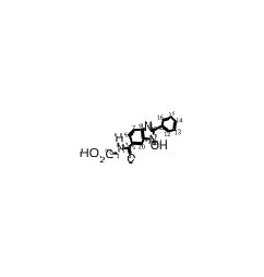 O=C(O)CNC(=O)c1ccc2nc(-c3ccccc3)n(O)c2c1